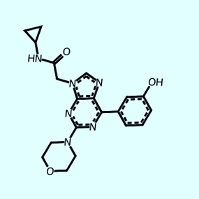 O=C(Cn1cnc2c(-c3cccc(O)c3)nc(N3CCOCC3)nc21)NC1CC1